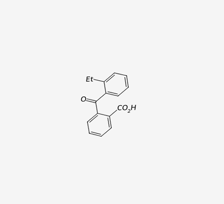 CCc1ccccc1C(=O)c1ccccc1C(=O)O